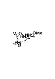 COCCCNc1nc(Nc2ccnc(OC)c2)ncc1C#CCCCNC(=O)[C@@H]1C[C@H](F)CN1C(=O)C=CCN(C)C